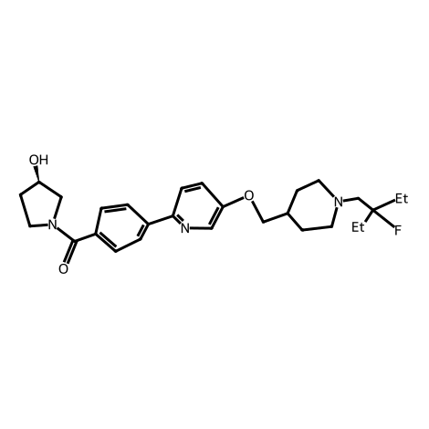 CCC(F)(CC)CN1CCC(COc2ccc(-c3ccc(C(=O)N4CC[C@@H](O)C4)cc3)nc2)CC1